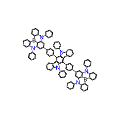 c1ccc(N2c3ccccc3B3c4ccccc4N(c4ccccc4)c4cc(-c5ccc(-c6c7c8ccccc8n(-c8ccccc8)c7c(-c7ccc(-c8cc9c%10c(c8)N(c8ccccc8)c8ccccc8B%10c8ccccc8N9c8ccccc8)cc7)c7c8ccccc8n(-c8ccccc8)c67)cc5)cc2c43)cc1